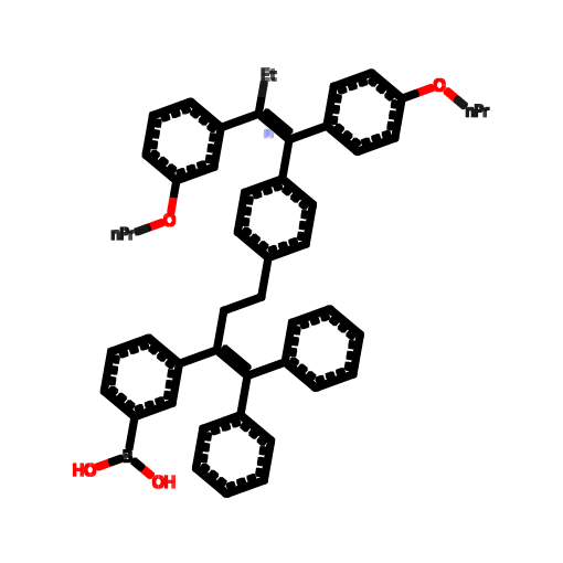 CCCOc1ccc(/C(=C(\CC)c2cccc(OCCC)c2)c2ccc(CCC(=C(c3ccccc3)c3ccccc3)c3cccc(B(O)O)c3)cc2)cc1